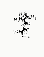 CC(O)C(=O)OC(=O)[C@@H](N)C(C)C